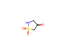 O=C1CNS(=O)(=O)C1